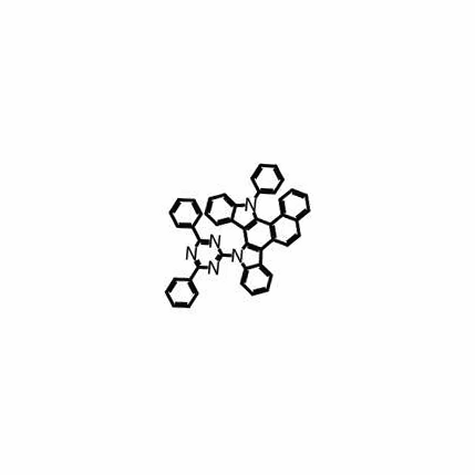 c1ccc(-c2nc(-c3ccccc3)nc(-n3c4ccccc4c4c5ccc6ccccc6c5c5c(c6ccccc6n5-c5ccccc5)c43)n2)cc1